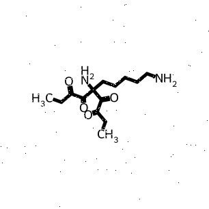 CCC(=O)C(=O)C(N)(CCCCCN)C(=O)C(=O)CC